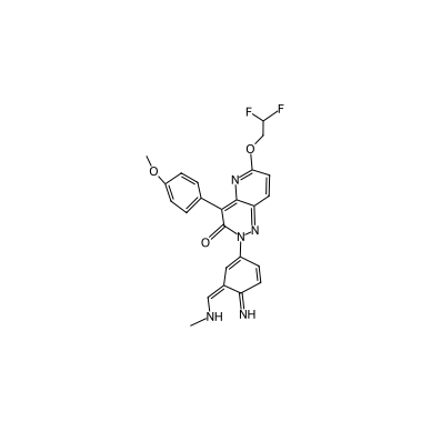 CN/C=C1/C=C(n2nc3ccc(OCC(F)F)nc3c(-c3ccc(OC)cc3)c2=O)C=CC1=N